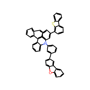 c1cc(-c2ccc3oc4ccccc4c3c2)cc(N(c2cccc(-c3cccc4c3sc3ccccc34)c2)c2ccccc2-c2cccc3ccccc23)c1